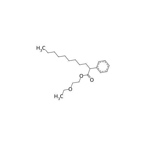 CCCCCCCCCC(C(=O)OCCOCC)c1ccccc1